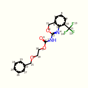 O=C(NC1=Nc2c(cccc2C(F)(F)F)CO1)OCCOCc1ccccc1